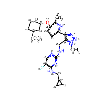 Cc1nc(-c2nnn(C)c2CNc2ncc(F)c(NCC3CC3)n2)ccc1O[C@H]1CCC[C@H](C(=O)O)C1